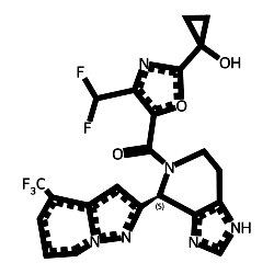 O=C(c1oc(C2(O)CC2)nc1C(F)F)N1CCc2[nH]cnc2[C@H]1c1cc2c(C(F)(F)F)cccn2n1